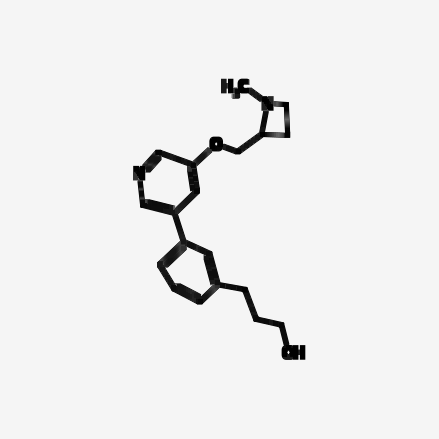 CN1CCC1COc1cncc(-c2cccc(CCCO)c2)c1